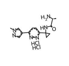 C[C@H](N)C(=O)NC1(c2ccc(-c3cnn(C)c3)nn2)CC1.Cl.Cl